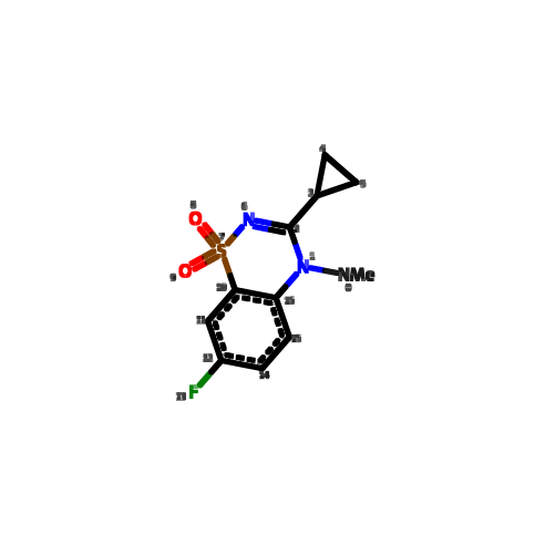 CNN1C(C2CC2)=NS(=O)(=O)c2cc(F)ccc21